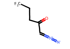 [N-]=[N+]=CC(=O)CCC(F)(F)F